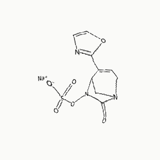 O=C1N2CC=C(c3ncco3)C(C2)N1OS(=O)(=O)[O-].[Na+]